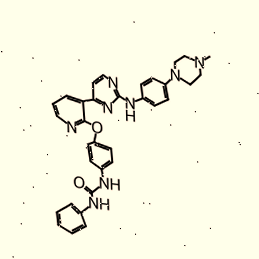 CN1CCN(c2ccc(Nc3nccc(-c4cccnc4Oc4ccc(NC(=O)Nc5ccccc5)cc4)n3)cc2)CC1